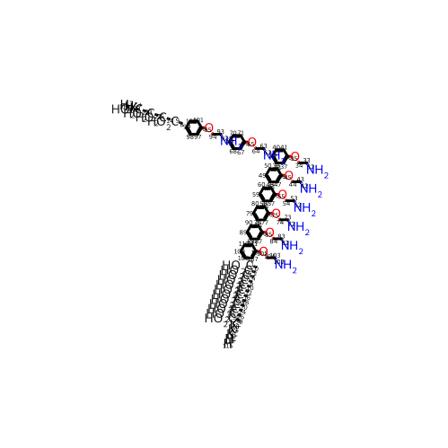 CC(=O)O.CC(=O)O.CC(=O)O.CC(=O)O.CC(=O)O.CC(=O)O.CC(=O)O.CC(=O)O.CC(=O)O.CC(=O)O.CC(=O)O.CC(=O)O.CC(=O)O.CC(=O)O.CC(=O)O.CC(=O)O.NCCOc1ccccc1.NCCOc1ccccc1.NCCOc1ccccc1.NCCOc1ccccc1.NCCOc1ccccc1.NCCOc1ccccc1.NCCOc1ccccc1.NCCOc1ccccc1.[H-].[H-].[H-].[H-].[K+].[K+].[K+].[K+]